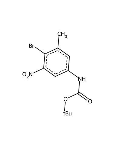 Cc1cc(NC(=O)OC(C)(C)C)cc([N+](=O)[O-])c1Br